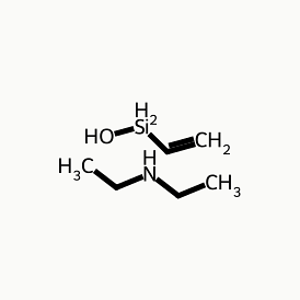 C=C[SiH2]O.CCNCC